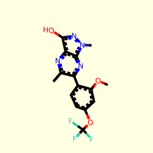 COc1cc(OC(F)(F)F)ccc1-c1nc2c(nc1C)c(O)nn2C